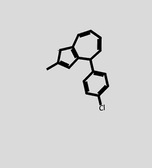 CC1=CC2=C([CH]1)C=CC=CC2c1ccc(Cl)cc1